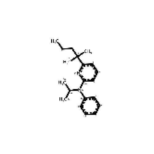 CCCC(C)(C)c1cccc(N(c2ccccc2)C(C)C)n1